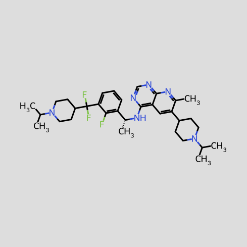 Cc1nc2ncnc(N[C@H](C)c3cccc(C(F)(F)C4CCN(C(C)C)CC4)c3F)c2cc1C1CCN(C(C)C)CC1